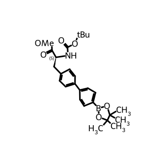 COC(=O)[C@H](Cc1ccc(-c2ccc(B3OC(C)(C)C(C)(C)O3)cc2)cc1)NC(=O)OC(C)(C)C